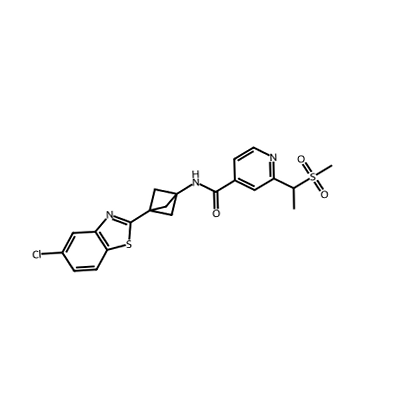 CC(c1cc(C(=O)NC23CC(c4nc5cc(Cl)ccc5s4)(C2)C3)ccn1)S(C)(=O)=O